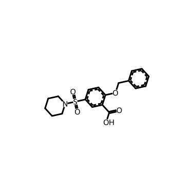 O=C(O)c1cc(S(=O)(=O)N2CCCCC2)ccc1OCc1ccccc1